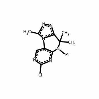 Cc1nnc2n1-c1cnc(Cl)nc1N(C(C)C)C2(C)C